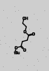 CC(C)(C)OC(=O)CCC(=O)OCCO